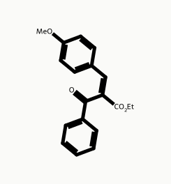 CCOC(=O)/C(=C/c1ccc(OC)cc1)C(=O)c1ccccc1